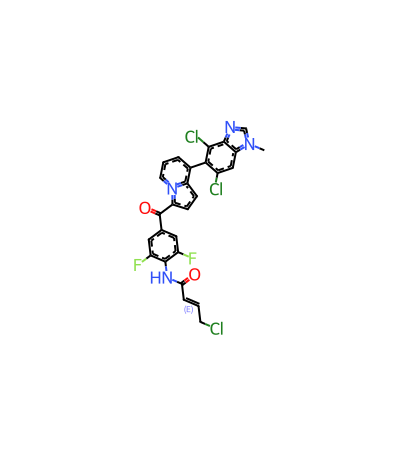 Cn1cnc2c(Cl)c(-c3cccn4c(C(=O)c5cc(F)c(NC(=O)/C=C/CCl)c(F)c5)ccc34)c(Cl)cc21